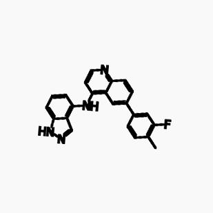 Cc1ccc(-c2ccc3nccc(Nc4cccc5[nH]ncc45)c3c2)cc1F